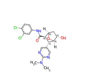 CN(C)c1ncc([C@H]2[C@H]3O[C@H](C[C@@H]3O)[C@@H]2C(=O)Nc2ccc(Cl)c(Cl)c2)cn1